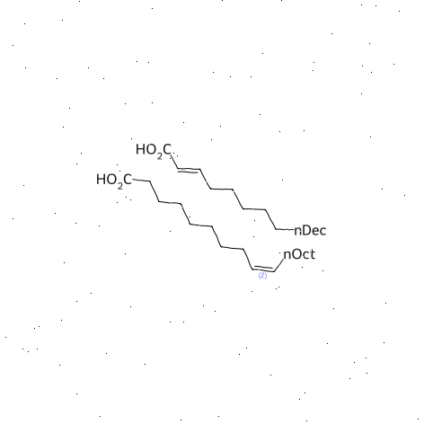 CCCCCCCC/C=C\CCCCCCCC(=O)O.CCCCCCCCCCCCCCCC=CC(=O)O